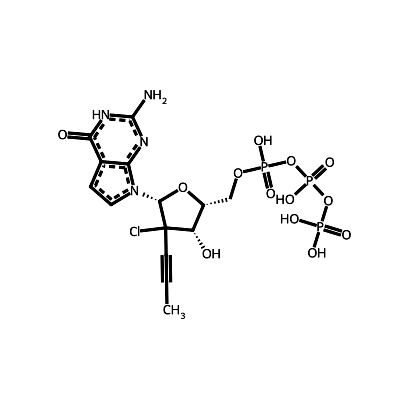 CC#CC1(Cl)[C@@H](O)[C@@H](COP(=O)(O)OP(=O)(O)OP(=O)(O)O)O[C@H]1n1ccc2c(=O)[nH]c(N)nc21